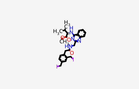 COC(=O)[C@@H](Nc1nc(CNC(=O)Cc2ccc(CI)cc2CI)nc2ccccc12)C(C)C